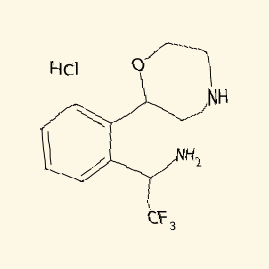 Cl.NC(c1ccccc1C1CNCCO1)C(F)(F)F